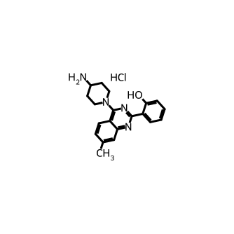 Cc1ccc2c(N3CCC(N)CC3)nc(-c3ccccc3O)nc2c1.Cl